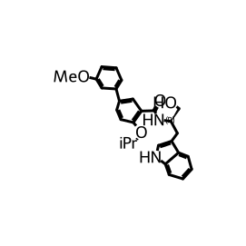 COc1cccc(-c2ccc(OC(C)C)c(C(=O)N[C@@H](CO)Cc3c[nH]c4ccccc34)c2)c1